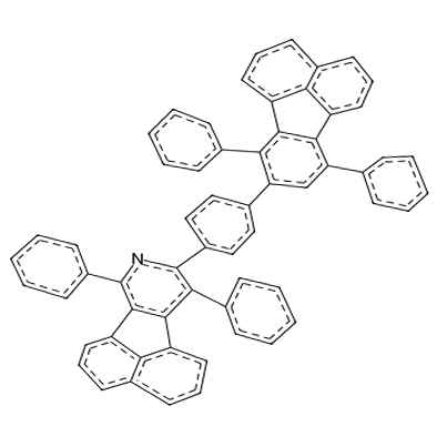 c1ccc(-c2cc(-c3ccc(-c4nc(-c5ccccc5)c5c(c4-c4ccccc4)-c4cccc6cccc-5c46)cc3)c(-c3ccccc3)c3c2-c2cccc4cccc-3c24)cc1